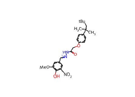 COc1cc(/C=N/NC(=O)COc2ccc(C(C)(C)CC(C)(C)C)cc2)cc([N+](=O)[O-])c1O